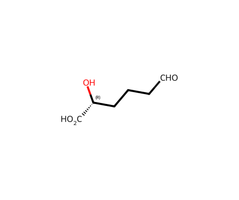 O=CCCC[C@@H](O)C(=O)O